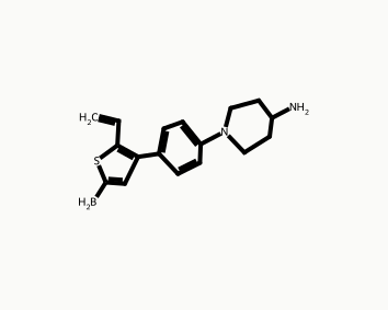 Bc1cc(-c2ccc(N3CCC(N)CC3)cc2)c(C=C)s1